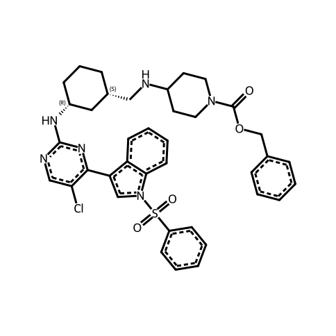 O=C(OCc1ccccc1)N1CCC(NC[C@H]2CCC[C@@H](Nc3ncc(Cl)c(-c4cn(S(=O)(=O)c5ccccc5)c5ccccc45)n3)C2)CC1